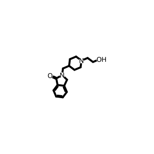 O=C1c2ccccc2CN1CC1CCN(CCO)CC1